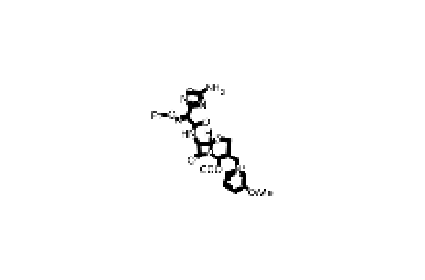 CCON=C(C(=O)NC1C(=O)N2C(C(=O)[O-])=C(C[n+]3cccc(OC)c3)CS[C@@H]12)c1nsc(N)n1